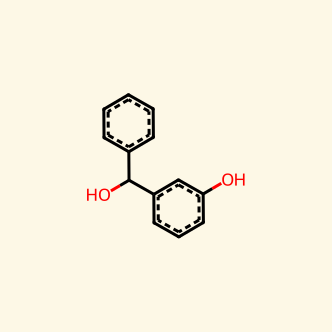 Oc1cccc(C(O)c2ccccc2)c1